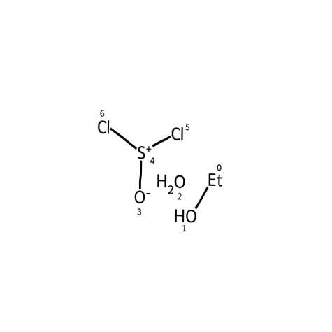 CCO.O.[O-][S+](Cl)Cl